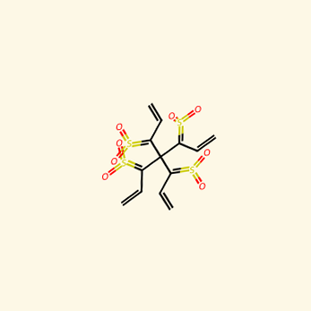 C=CC(=S(=O)=O)C(C(C=C)=S(=O)=O)(C(C=C)=S(=O)=O)C(C=C)=S(=O)=O